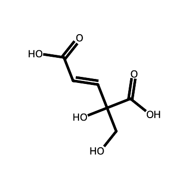 O=C(O)C=CC(O)(CO)C(=O)O